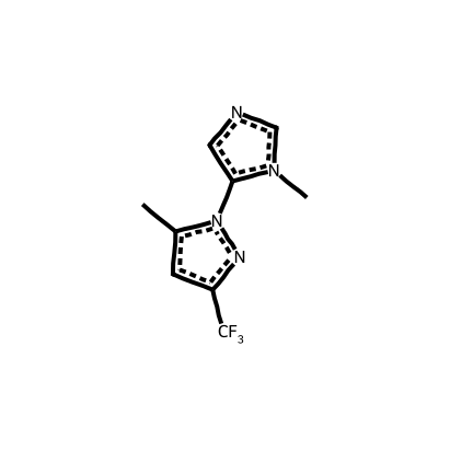 Cc1cc(C(F)(F)F)nn1-c1cncn1C